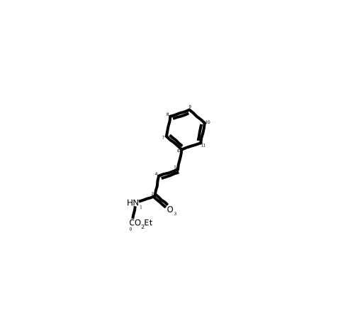 CCOC(=O)NC(=O)/C=C/c1ccccc1